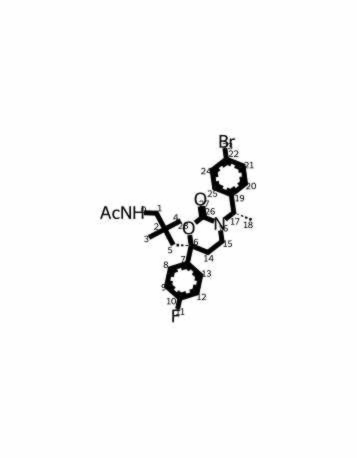 CC(=O)NCC(C)(C)C[C@@]1(c2ccc(F)cc2)CCN([C@@H](C)c2ccc(Br)cc2)C(=O)O1